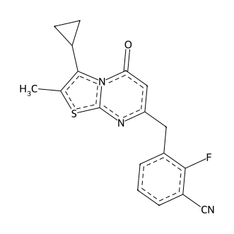 Cc1sc2nc(Cc3cccc(C#N)c3F)cc(=O)n2c1C1CC1